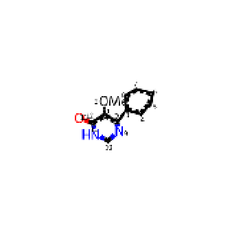 COc1c(-c2ccccc2)nc[nH]c1=O